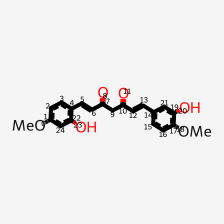 COc1ccc(/C=C/C(=O)CC(=O)/C=C/c2ccc(OC)c(O)c2)c(O)c1